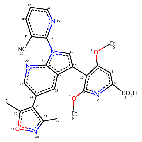 CCOc1cc(C(=O)O)nc(OCC)c1-c1cn(-c2ncccc2C#N)c2ncc(-c3c(C)noc3C)cc12